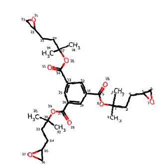 CC(C)(CCC1CO1)OC(=O)c1cc(C(=O)OC(C)(C)CCC2CO2)cc(C(=O)OC(C)(C)CCC2CO2)c1